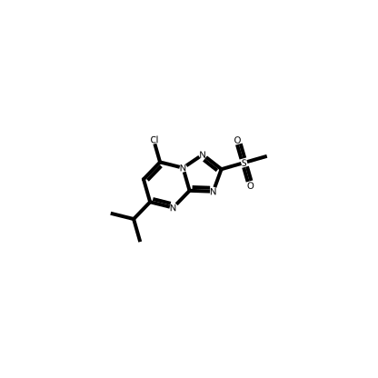 CC(C)c1cc(Cl)n2nc(S(C)(=O)=O)nc2n1